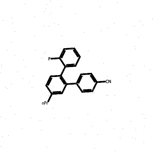 CCCc1ccc(-c2ccccc2F)c(-c2ccc(C#N)cc2)c1